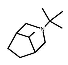 CC1C2CCC1CN(C(C)(C)C)C2